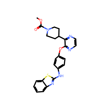 COC(=O)N1CCC(c2nccnc2Oc2ccc(Nc3nc4ccccc4s3)cc2)CC1